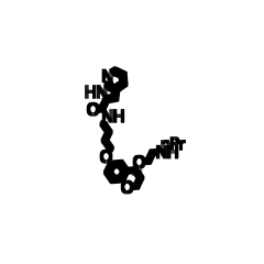 CCCNCCO[C@H]1CCOc2ccc(OCCCCNC(=O)c3cc4cccnc4[nH]3)cc21